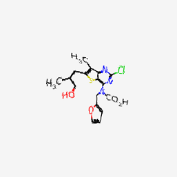 Cc1c(CC(C)CO)sc2c(N(Cc3ccco3)C(=O)O)nc(Cl)nc12